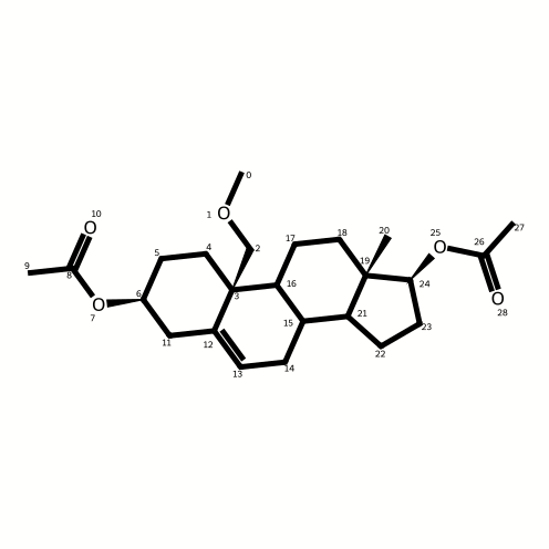 COC[C@]12CC[C@H](OC(C)=O)CC1=CCC1C2CC[C@@]2(C)C1CC[C@@H]2OC(C)=O